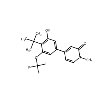 Cn1ccc(-c2cc(O)c(C(C)(C)C)c(OC(F)(F)F)c2)cc1=O